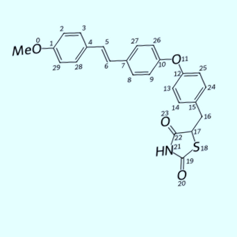 COc1ccc(/C=C/c2ccc(Oc3ccc(CC4SC(=O)NC4=O)cc3)cc2)cc1